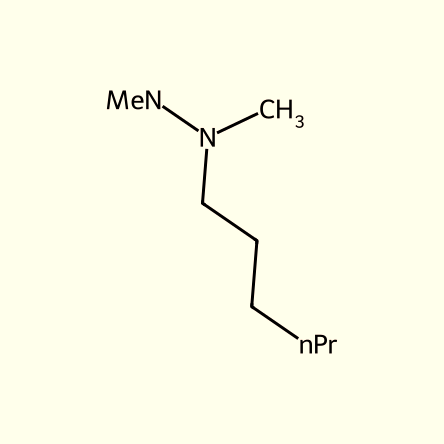 CCCCCCN(C)NC